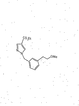 CCOC(=O)c1cnn(Cc2cccc(CCOC)c2)c1